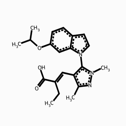 CCC(=Cc1c(C)nn(C)c1-n1ccc2ccc(OC(C)C)cc21)C(=O)O